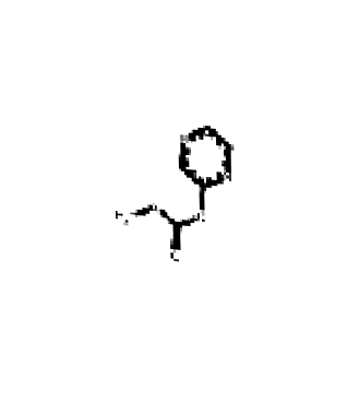 CSC(=O)Oc1cnccn1